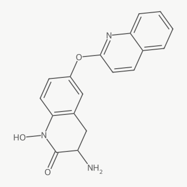 NC1Cc2cc(Oc3ccc4ccccc4n3)ccc2N(O)C1=O